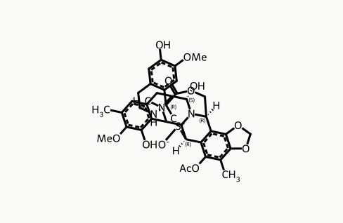 COc1cc2c(cc1O)CCN[C@]21C[S+]([O-])[C@@H]2c3c(OC(C)=O)c(C)c4c(c3[C@H](COC1=O)N1C2C2c3c(cc(C)c(OC)c3O)CC([C@@H]1O)N2C)OCO4